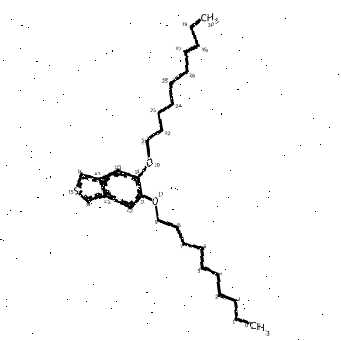 CCCCCCCCCCOc1cc2cscc2cc1OCCCCCCCCCC